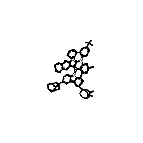 Cc1cc2c3c(c1)N(c1ccc(C(C)(C)C)cc1-c1ccccc1)c1oc4cc5ccccc5cc4c1B3n1c3ccc(C45CC6CC(CC(C6)C4)C5)cc3c3cc(C45CCC(CC(C)C4)C(C)C5)cc-2c31